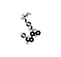 CC(C)(C)OC(=O)NCCN1CCN(CC(=O)Nc2ccc(-c3cccc4c(=O)cc(N5CCOCC5)oc34)c3sc4ccccc4c23)CC1